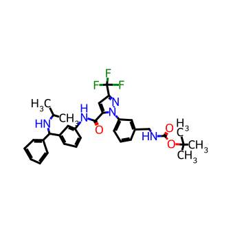 CC(C)NC(c1ccccc1)c1cccc(NC(=O)c2cc(C(F)(F)F)nn2-c2cccc(CNC(=O)OC(C)(C)C)c2)c1